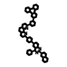 c1ccc(-c2nc(-c3ccc4ccccc4c3)nc3ccc(-c4ccc(-c5ccc6ccc7ccc(-c8cccc(-c9ccc%10c%11ccccc%11c%11ccccc%11c%10c9)c8)nc7c6n5)cc4)cc23)cc1